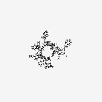 CCCC(=O)N[C@H](Cc1ccccc1)C(=O)N[C@H]1CSSC[C@@H](C(=O)N[C@H](C(=O)NCCSSc2ccccn2)[C@@H](C)O)NC(=O)[C@H]([C@@H](C)O)NC(=O)[C@H](CCCCNC(=O)OC(C)(C)C)NC(=O)[C@@H](Cc2c[nH]c3ccccc23)NC(=O)[C@H](Cc2ccc(O)cc2)NC1=O